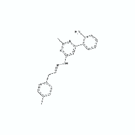 Cc1ccc(CC=NNc2cc(-c3ccccc3N)nc(C)n2)cc1